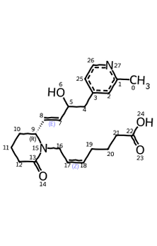 Cc1cc(CC(O)/C=C/[C@H]2CCCC(=O)N2C/C=C\CCCC(=O)O)ccn1